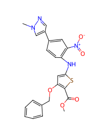 COC(=O)c1sc(Nc2ccc(-c3cnn(C)c3)cc2[N+](=O)[O-])cc1OCc1ccccc1